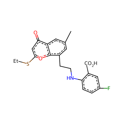 CCSc1cc(=O)c2cc(C)cc(CCNc3ccc(F)cc3C(=O)O)c2o1